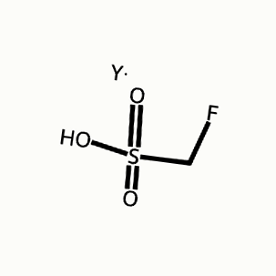 O=S(=O)(O)CF.[Y]